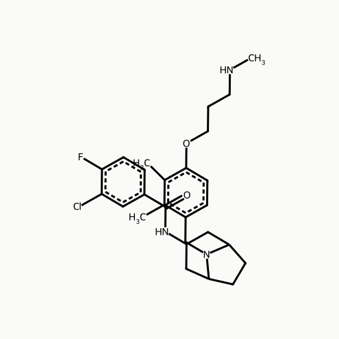 CNCCCOc1ccc(CN2C3CCC2CC(NC(=O)c2ccc(F)c(Cl)c2)C3)c(C)c1C